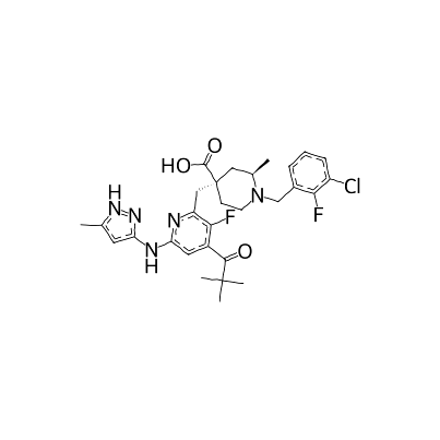 Cc1cc(Nc2cc(C(=O)C(C)(C)C)c(F)c(C[C@@]3(C(=O)O)CCN(Cc4cccc(Cl)c4F)[C@H](C)C3)n2)n[nH]1